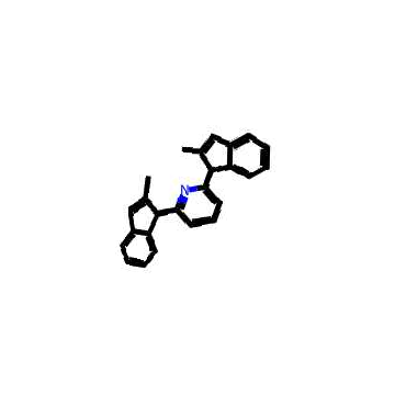 CC1=Cc2ccccc2C1c1cccc(C2C(C)=Cc3ccccc32)n1